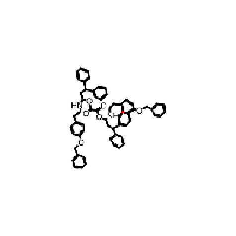 O=C(OC(CC(c1ccccc1)c1ccccc1)NCCc1ccc(OCc2ccccc2)cc1)C(=O)OC(CC(c1ccccc1)c1ccccc1)NCCc1ccc(OCc2ccccc2)cc1